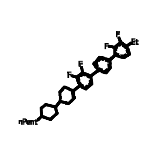 CCCCCC1CCC(C2CC=C(c3ccc(-c4ccc(-c5ccc(CC)c(F)c5F)cc4)c(F)c3F)CC2)CC1